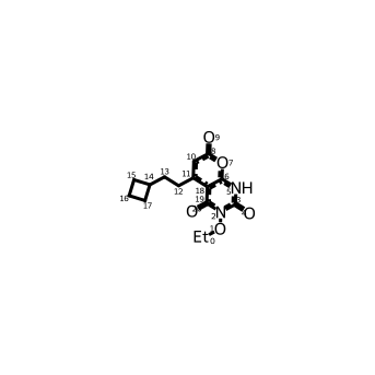 CCOn1c(=O)[nH]c2oc(=O)cc(CCC3CCC3)c2c1=O